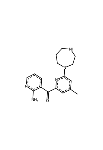 Cc1cc(C(=O)c2cccnc2N)nc(N2CCCNCC2)c1